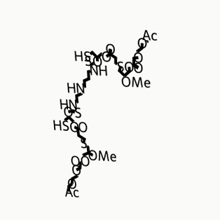 COC(COC(=O)COCCOCC(C)=O)CSCCC(=O)OCC(CS)OC(=S)NCCCCNCCCNC(=S)OC(CS)COC(=O)CCSCC(COC(=O)COCCOCC(C)=O)OC